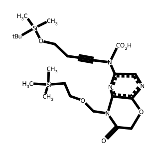 CC(C)(C)[Si](C)(C)OCCC#CN(C(=O)O)c1cnc2c(n1)N(COCC[Si](C)(C)C)C(=O)CO2